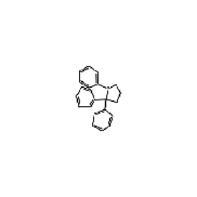 c1ccc(P2CCCC2(c2ccccc2)c2ccccc2)cc1